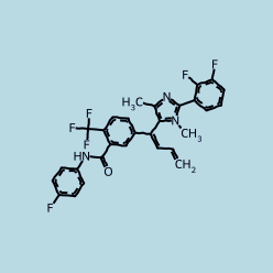 C=C/C=C(/c1ccc(C(F)(F)F)c(C(=O)Nc2ccc(F)cc2)c1)c1c(C)nc(-c2cccc(F)c2F)n1C